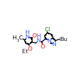 CCOc1cc(C)[nH]c(=O)c1CNC(=O)c1cc(Cl)cc2c(C(C)CC)ncn12